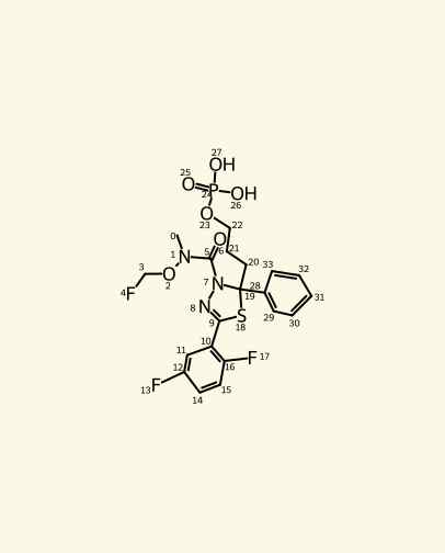 CN(OCF)C(=O)N1N=C(c2cc(F)ccc2F)SC1(CCCOP(=O)(O)O)c1ccccc1